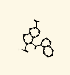 O=C(O)c1ccc2c(C(=O)c3cccc4ccccc34)c(C(=O)O)ccc2c1